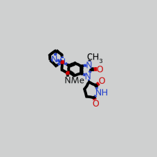 CNCCCN1C2CC1CN(c1ccc3c(c1)n(C)c(=O)n3[C@@H]1CCC(=O)NC1=O)C2